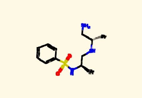 CC(C)[C@H](CN[C@H](CN)C(C)C)NS(=O)(=O)c1ccccc1